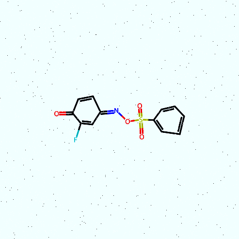 O=C1C=CC(=NOS(=O)(=O)c2ccccc2)C=C1F